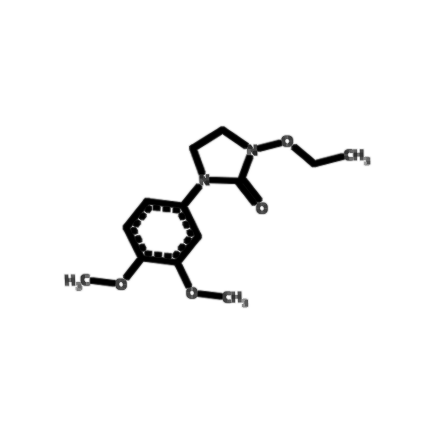 CCON1CCN(c2ccc(OC)c(OC)c2)C1=O